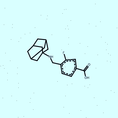 O=C(O)c1ccc(CNC23CC4CC(CC(C4)C2)C3)c(F)c1